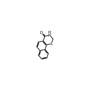 O=C1NCSc2c1ccc1ccccc21